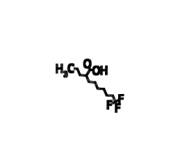 CCCC(CCCCCCC(F)(F)F)C(=O)O